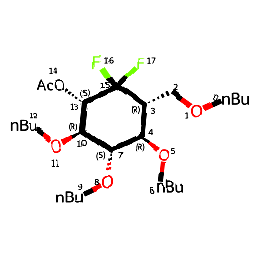 CCCCOC[C@@H]1[C@@H](OCCCC)[C@H](OCCCC)[C@@H](OCCCC)[C@H](OC(C)=O)C1(F)F